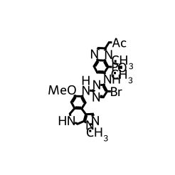 COc1cc2c(cc1Nc1ncc(Br)c(Nc3ccc4ncc(CC(C)=O)nc4c3P(C)(C)=O)n1)-c1cnn(C)c1CNC2